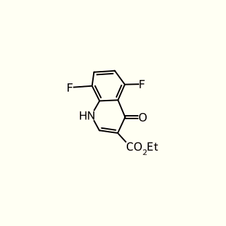 CCOC(=O)c1c[nH]c2c(F)ccc(F)c2c1=O